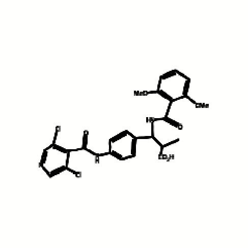 COc1cccc(OC)c1C(=O)NC(c1ccc(NC(=O)c2c(Cl)cncc2Cl)cc1)C(C)C(=O)O